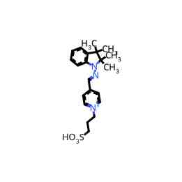 CC1(C)c2ccccc2N(N=Cc2cc[n+](CCCS(=O)(=O)O)cc2)C1(C)C